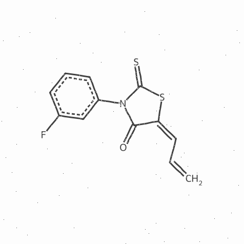 C=CC=C1SC(=S)N(c2cccc(F)c2)C1=O